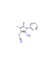 Cc1c(CC#N)c(N)n(-c2ccccc2)c1C